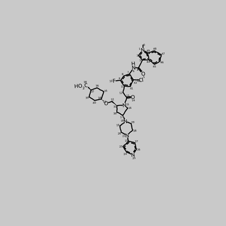 Cn1cc(C(=O)Nc2cc(F)c(CC(=O)N3C[C@@H](N4CCN(c5ccncc5)CC4)C[C@H]3CO[C@H]3CC[C@H](C(=O)O)CC3)cc2Cl)c2ccccc21